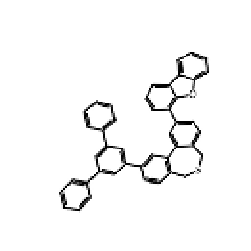 c1ccc(-c2cc(-c3ccccc3)cc(-c3ccc4c(c3)-c3cc(-c5cccc6c5oc5ccccc56)ccc3CSC4)c2)cc1